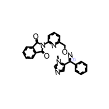 Cn1cncc1/C(=N\OCc1cccc(N2C(=O)c3ccccc3C2=O)n1)c1ccccc1